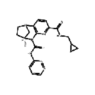 O=C(NCC1CC1)c1ccc2c(n1)N(C(=O)Nc1cccnn1)[C@H]1CCN2C1